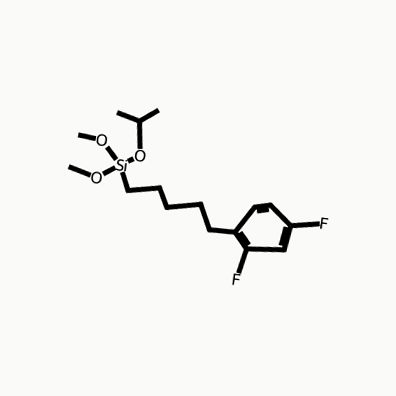 CO[Si](CCCCCc1ccc(F)cc1F)(OC)OC(C)C